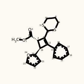 COC(=O)[C@@H]1C(C2SCCCS2)=C(c2ccccc2)[C@H]1c1ccco1